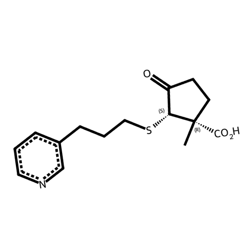 C[C@]1(C(=O)O)CCC(=O)[C@H]1SCCCc1cccnc1